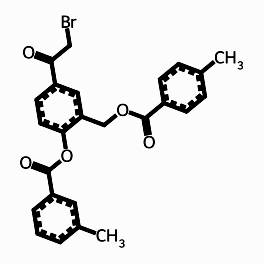 Cc1ccc(C(=O)OCc2cc(C(=O)CBr)ccc2OC(=O)c2cccc(C)c2)cc1